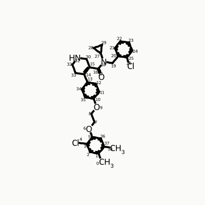 Cc1cc(Cl)c(OCCOc2ccc(C3=C(C(=O)N(Cc4ccccc4Cl)C4CC4)CNCC3)cc2)cc1C